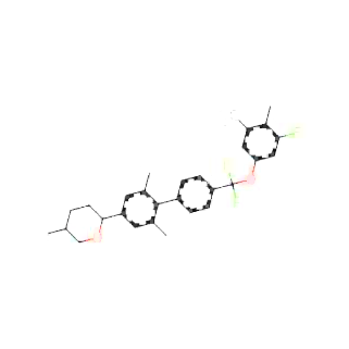 Cc1cc(C2CCC(C)CO2)cc(C)c1-c1ccc(C(F)(F)Oc2cc(F)c(C)c(C(F)(F)F)c2)cc1